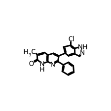 Cc1cc2cc(-c3cc(Cl)c4[nH]ncc4c3)c(-c3ccccc3)nc2[nH]c1=O